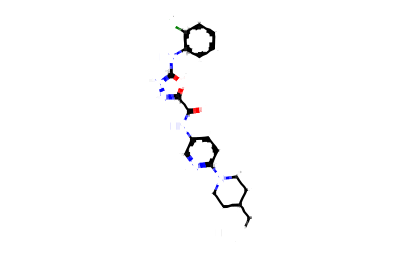 O=C(O)CC1CCN(c2ccc(NC(=O)c3nnc(Nc4ccccc4F)o3)cn2)CC1